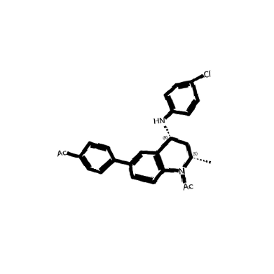 CC(=O)c1ccc(-c2ccc3c(c2)[C@H](Nc2ccc(Cl)cc2)C[C@H](C)N3C(C)=O)cc1